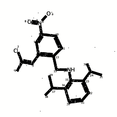 C/C(Cl)=C/c1cc([N+](=O)[O-])ccc1CNc1c(C(C)C)cccc1C(C)C